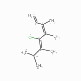 C=C/C(C)=C(C)\C(Cl)=C(/C)C(C)C